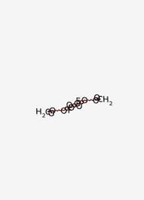 C=CC(=O)OCCCCCCOc1ccc(C(=O)Oc2ccc(OC(=O)c3ccc(OCCCCCCOC(=O)C=C)cc3F)cc2)c(F)c1